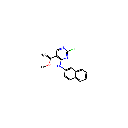 C=C(OCC)c1cnc(Cl)nc1Nc1ccc2ccccc2c1